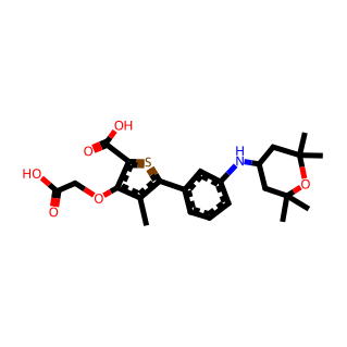 Cc1c(-c2cccc(NC3CC(C)(C)OC(C)(C)C3)c2)sc(C(=O)O)c1OCC(=O)O